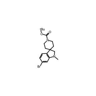 CN1CC2(CCN(C(=O)OC(C)(C)C)CC2)c2ccc(Br)cc21